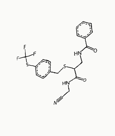 N#CCNC(=O)C(CNC(=O)c1ccccc1)SCc1ccc(SC(F)(F)F)cc1